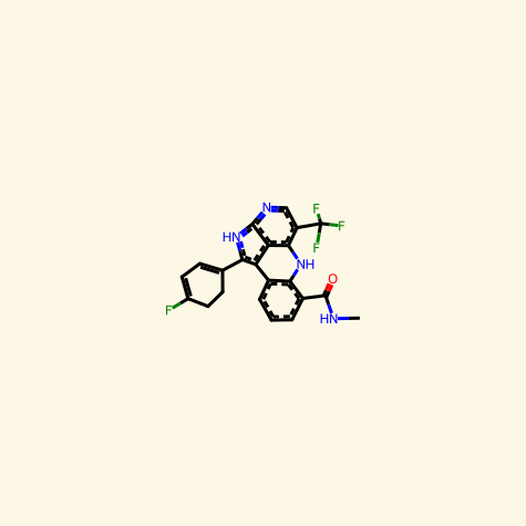 CNC(=O)c1cccc2c1Nc1c(C(F)(F)F)cnc3[nH]c(C4=CC=C(F)CC4)c-2c13